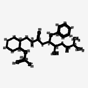 CC(C)NCC(O)C(CC(=O)NCC1CCCCC1O[N+](=O)[O-])Oc1ccccc1